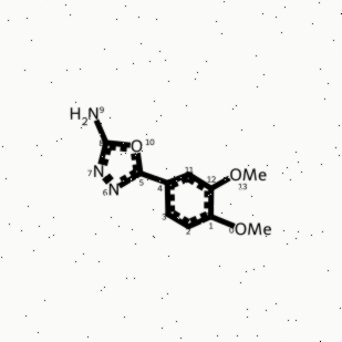 COc1ccc(-c2nnc(N)o2)cc1OC